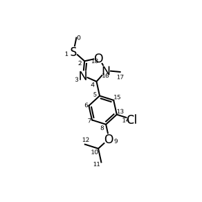 CSC1=NC(c2ccc(OC(C)C)c(Cl)c2)N(C)O1